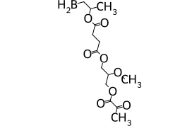 BCC(C)OC(=O)CCC(=O)OCC(COC(=O)C(C)=O)OC